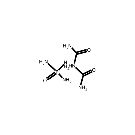 NC(=O)NC(N)=O.NP(N)(N)=O